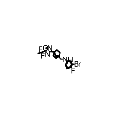 CC(F)(F)c1nc(C23CCC(CNc4ccc(F)c(Br)c4)(CC2)C3)no1